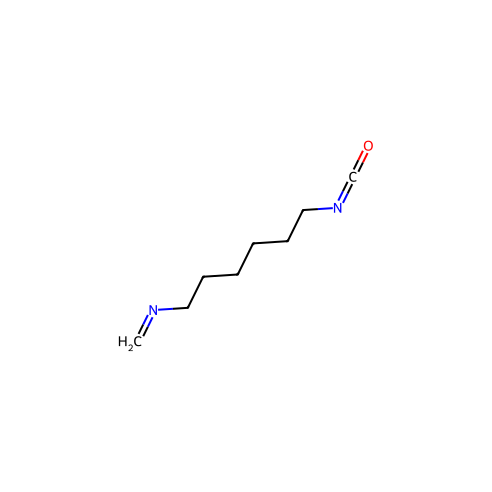 C=NCCCCCCN=C=O